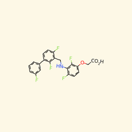 O=C(O)COc1ccc(F)c(NCc2c(F)ccc(-c3cccc(F)c3)c2F)c1F